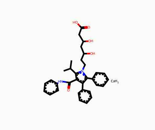 CC(C)c1c(C(=O)Nc2ccccc2)c(-c2ccccc2)c(-c2ccccc2)n1CCC(O)CC(O)CC(=O)O.[CaH2]